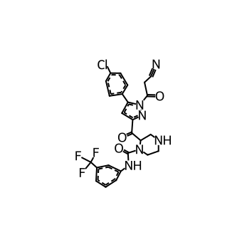 N#CCC(=O)n1nc(C(=O)C2CNCCN2C(=O)Nc2cccc(C(F)(F)F)c2)cc1-c1ccc(Cl)cc1